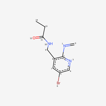 C=Nc1ncc(Br)cc1CNC(=O)CC